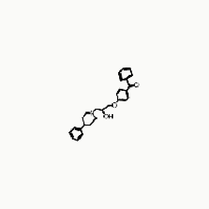 O=C(c1ccccc1)c1ccc(OCC(O)CN2CCC(c3ccccc3)CC2)cc1